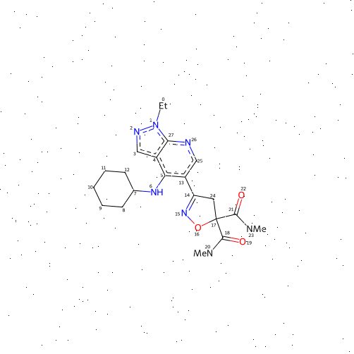 CCn1ncc2c(NC3CCCCC3)c(C3=NOC(C(=O)NC)(C(=O)NC)C3)cnc21